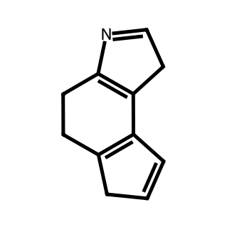 C1=CC2=C(C1)CCC1=C2CC=N1